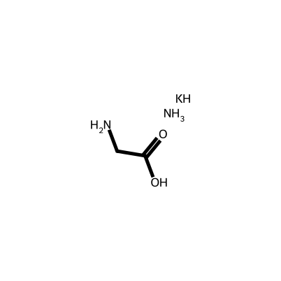 N.NCC(=O)O.[KH]